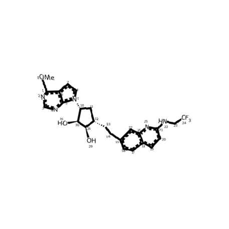 COc1ncnc2c1ccn2[C@@H]1C[C@H](CCc2ccc3ccc(NCC(F)(F)F)nc3c2)[C@@H](O)[C@H]1O